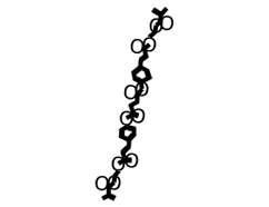 C=C(C)C(=O)OCCOC(=O)/C=C/c1ccc(OC(=O)CCC(=O)Oc2ccc(/C=C/C(=O)OCCOC(=O)C(=C)C)cc2)cc1